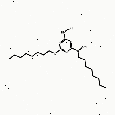 CCCCCCCCOc1nc(NO)nc(N(O)CCCCCCCC)n1